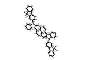 CC1(C)c2ccccc2-c2ccc(-n3c4ccncc4c4c5ccc6cc7c(c8ccc(cc43)c5c68)c3cnccc3n7-c3ccc4c(c3)C(C)(C)c3ccccc3-4)cc21